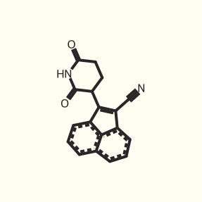 N#CC1=C(C2CCC(=O)NC2=O)c2cccc3cccc1c23